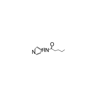 CCCCC(=O)NCc1ccncc1